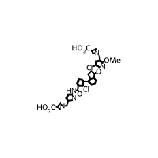 COc1nc(OC2CCc3c(-c4cccc(C(=O)Nc5ccc(CN6CC(C(=O)O)C6)cn5)c4Cl)cccc32)c(Cl)cc1CN1CC(C(=O)O)C1